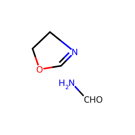 C1=NCCO1.NC=O